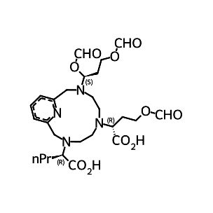 CCC[C@H](C(=O)O)N1CCN([C@H](CCOC=O)C(=O)O)CCN([C@H](CCOC=O)OC=O)Cc2cccc(n2)C1